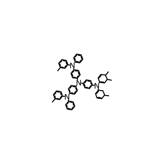 Cc1cccc(N(c2ccccc2)c2ccc(N(c3ccc(N(C4=CC(C)C(C)C=C4)C4=CC=CC(C)C4)cc3)c3ccc(N(c4ccccc4)c4cccc(C)c4)cc3)cc2)c1